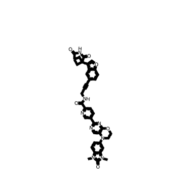 Cn1c(=O)n(C)c2cc(N3CCOc4nc(-c5ccc(C(=O)NCC#Cc6ccc7occ(C89CC(C8)C(=O)NC9=O)c7c6)nc5)ncc43)ccc21